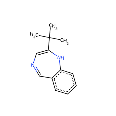 CC(C)(C)C1=CN=Cc2ccccc2N1